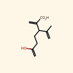 C=C(O)CCC(C(=C)C)C(=C)C(=O)O